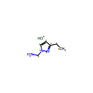 CCc1ccn(CN)n1.Cl